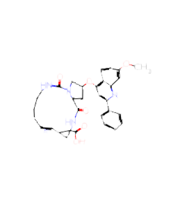 COc1ccc2c(OC3CC4C(=O)NC5(C(=O)O)CC5/C=C/CCCCNC(=O)N4C3)cc(-c3ccccc3)nc2c1